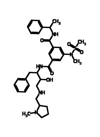 CC(NC(=O)c1cc(C(=O)NC(Cc2ccccc2)C(O)CNCC2CCCN2C)cc(N(C)S(C)(=O)=O)c1)c1ccccc1